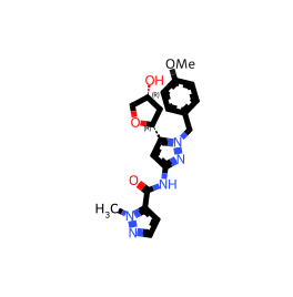 COc1ccc(Cn2nc(NC(=O)c3ccnn3C)cc2[C@H]2C[C@@H](O)CO2)cc1